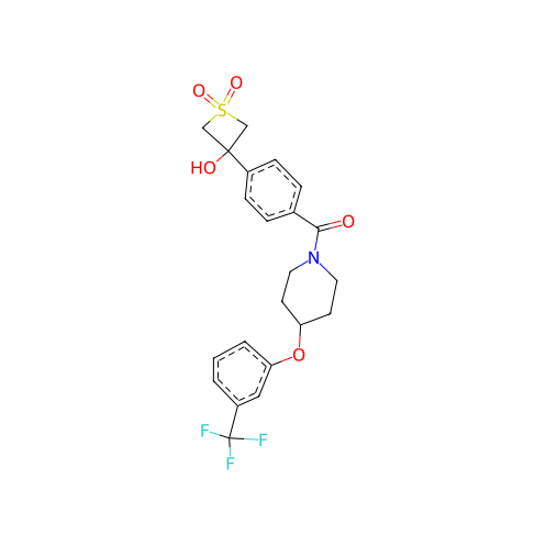 O=C(c1ccc(C2(O)CS(=O)(=O)C2)cc1)N1CCC(Oc2cccc(C(F)(F)F)c2)CC1